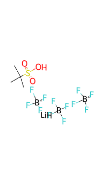 CC(C)(C)S(=O)(=O)O.F[B-](F)(F)F.F[B-](F)(F)F.F[B-](F)(F)F.[LiH]